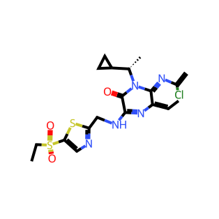 C=C(Cl)/N=C1\C(=C/C)N=C(NCc2ncc(S(=O)(=O)CC)s2)C(=O)N1[C@@H](C)C1CC1